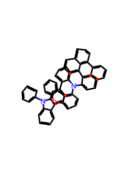 c1ccc(-c2cccc3cccc(-c4ccccc4N(c4ccccc4-c4ccc5c6ccccc6n(-c6ccccc6)c5c4)c4cccc5oc6ccccc6c45)c23)cc1